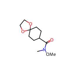 CON(C)C(=O)C1CCC2(CC1)OCCO2